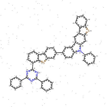 c1ccc(-c2nc(-c3ccccc3)nc(-c3cccc4c3sc3cc(-c5ccc6c(c5)c5cc7c(cc5n6-c5ccccc5)sc5ccccc57)ccc34)n2)cc1